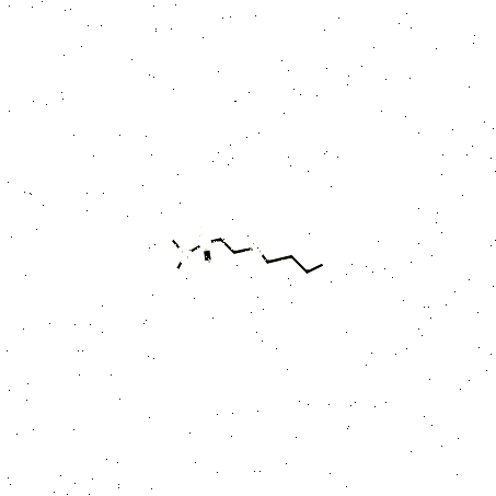 CCCCNCCS(=O)(=O)N(C)C